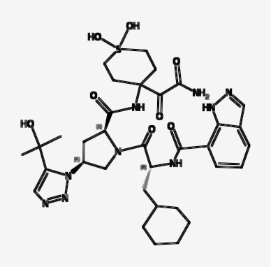 CC(C)(O)c1cnnn1[C@H]1C[C@@H](C(=O)NC2(C(=O)C(N)=O)CCS(O)(O)CC2)N(C(=O)[C@@H](CC2CCCCC2)NC(=O)c2cccc3cn[nH]c23)C1